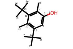 Cc1c(O)cc(C(C)(C)C)c(C)c1C(C)(C)C